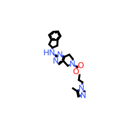 Cc1cncn1CCCOC(=O)N1CCc2nc(NC3Cc4ccccc4C3)ncc2C1